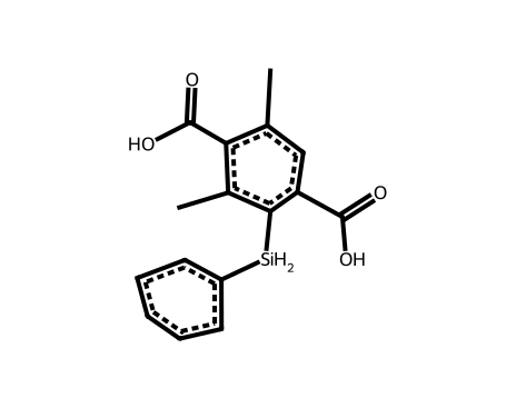 Cc1cc(C(=O)O)c([SiH2]c2ccccc2)c(C)c1C(=O)O